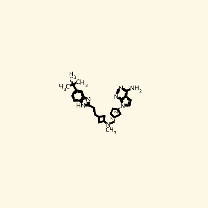 CN(C[C@@H]1CC[C@H](n2ccc3c(N)ncnc32)C1)C1CC(CCc2nc3cc(C(C)(C)C)ccc3[nH]2)C1